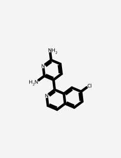 Nc1ccc(-c2nccc3ccc(Cl)cc23)c(N)n1